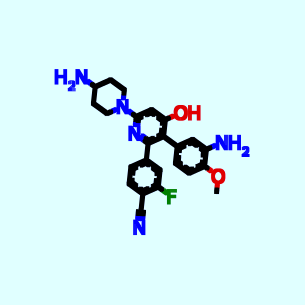 COc1ccc(-c2c(O)cc(N3CCC(N)CC3)nc2-c2ccc(C#N)c(F)c2)cc1N